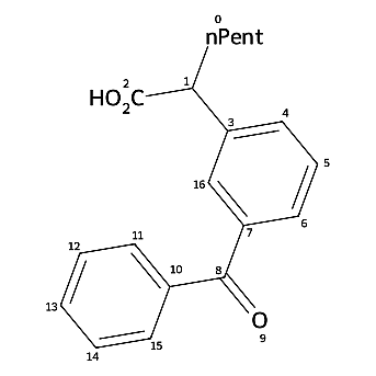 CCCCCC(C(=O)O)c1cccc(C(=O)c2ccccc2)c1